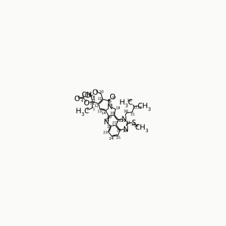 CC[C@@]1(OC(C)=O)C(=O)OCc2c1cc1n(c2=O)Cc2c-1nc1cccc3c1c2N(CCC(C)C)C(SC)=N3